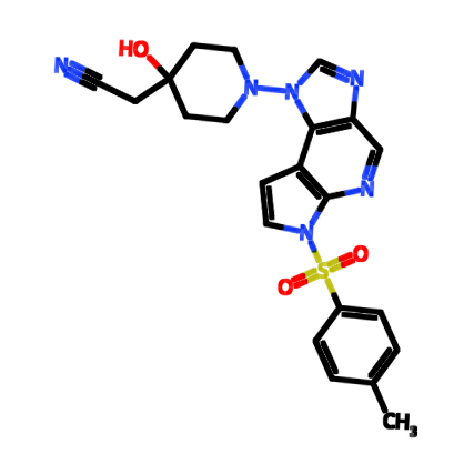 Cc1ccc(S(=O)(=O)n2ccc3c4c(cnc32)ncn4N2CCC(O)(CC#N)CC2)cc1